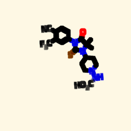 CC1(C)C(=O)N(c2ccc(C#N)c(C(F)(F)F)c2)C(=S)N1C1CCN(NC(=O)O)CC1